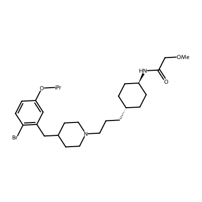 COCC(=O)N[C@H]1CC[C@H](CCCN2CCC(Cc3cc(OC(C)C)ccc3Br)CC2)CC1